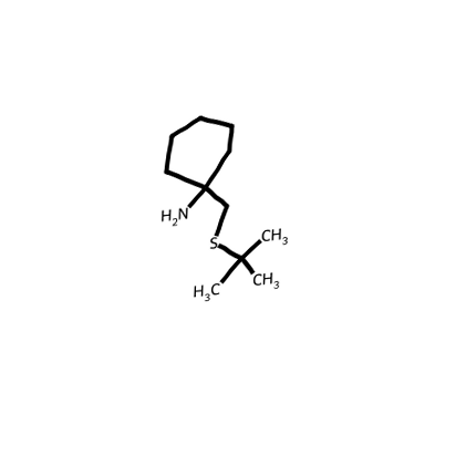 CC(C)(C)SCC1(N)CCCCC1